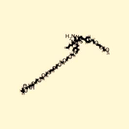 CCCCc1nc2c(N)nc3cc(C4CCN(CCOCCOCCOC)CC4)sc3c2n1CC1CCN(CCOCCOCCOCCOCCOCCOCCOCCOCCNC(=O)OC(C)(C)C)CC1